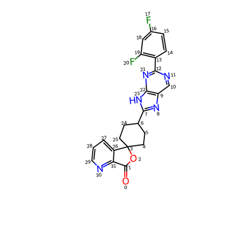 O=C1OC2(CCC(c3nc4cnc(-c5ccc(F)cc5F)nc4[nH]3)CC2)c2cccnc21